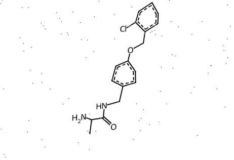 CC(N)C(=O)NCc1ccc(OCc2ccccc2Cl)cc1